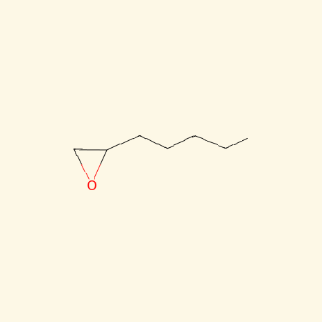 CCCCCC1CO1